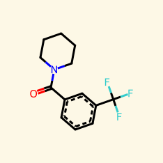 O=C(c1cccc(C(F)(F)F)c1)N1CCCCC1